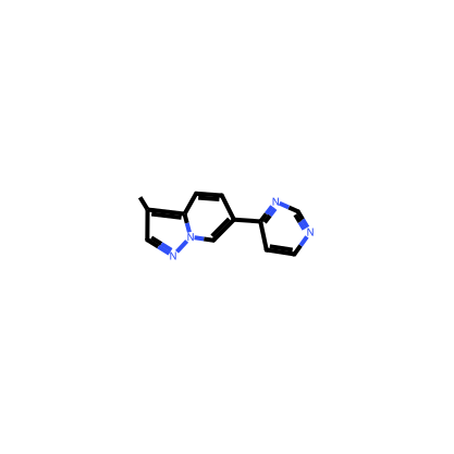 Cc1cnn2cc(-c3ccncn3)ccc12